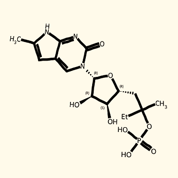 CCC(C)(C[C@H]1O[C@@H](n2cc3cc(C)[nH]c3nc2=O)[C@H](O)[C@@H]1O)OP(=O)(O)O